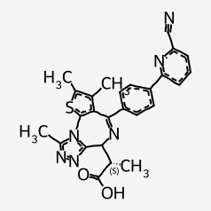 Cc1sc2c(c1C)C(c1ccc(-c3cccc(C#N)n3)cc1)=NC([C@H](C)C(=O)O)c1nnc(C)n1-2